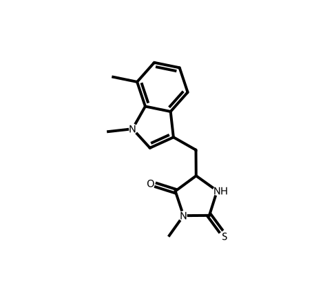 Cc1cccc2c(CC3NC(=S)N(C)C3=O)cn(C)c12